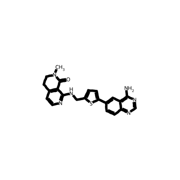 CN1CCc2ccnc(NCc3ccc(-c4ccc5ncnc(N)c5c4)s3)c2C1=O